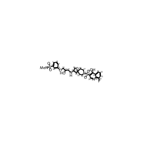 CNS(=O)(=O)c1cccc(OC[C@@H](O)CN[C@H]2COC3(CCN(S(=O)(=O)c4cnc5c(F)cccc5c4O)CC3)C2)c1